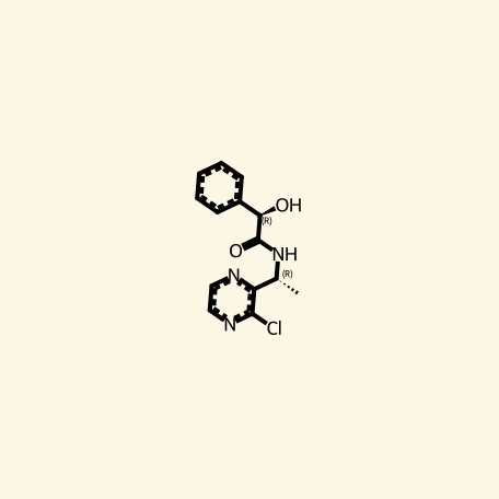 C[C@@H](NC(=O)[C@H](O)c1ccccc1)c1nccnc1Cl